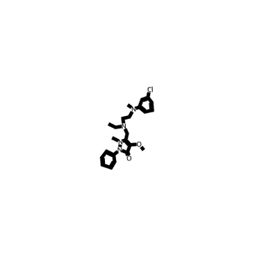 CCN(CCN(C)c1cccc(Cl)c1)Cc1c(OC)c(=O)n(-c2ccccc2)n1C